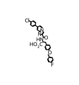 O=C(NC(Cc1ccc(OCc2ccc(F)cc2)cc1)C(=O)O)c1cn2ccc(-c3ccc(Cl)cc3)cc2n1